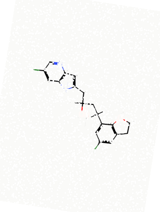 CC(C)(CC(O)(Cc1cc2ncc(Cl)cc2[nH]1)C(F)(F)F)c1cc(Cl)cc2c1OCC2